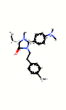 COc1ccc(CCN2C(=O)[C@H](CC(C)C)N(C)[C@H]2c2ccc(N(C)C)cc2)cc1